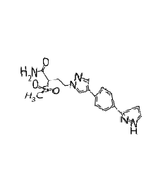 CS(=O)(=O)C(CCn1cc(-c2ccc(-c3cc[nH]n3)cc2)cn1)C(N)=O